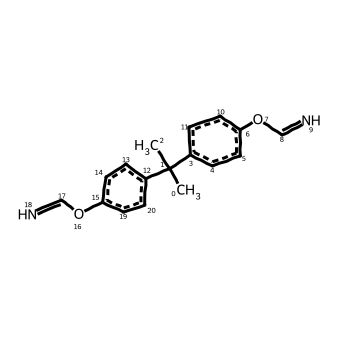 CC(C)(c1ccc(OC=N)cc1)c1ccc(OC=N)cc1